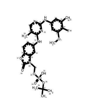 COc1cc(Nc2ncc(C)c(Nc3ccc4oc(=O)n(COP(=O)(O)OC(C)(C)C)c4c3)n2)cc(C)c1F